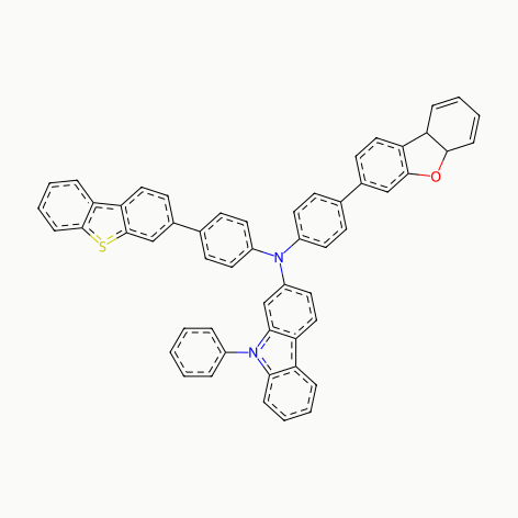 C1=CC2Oc3cc(-c4ccc(N(c5ccc(-c6ccc7c(c6)sc6ccccc67)cc5)c5ccc6c7ccccc7n(-c7ccccc7)c6c5)cc4)ccc3C2C=C1